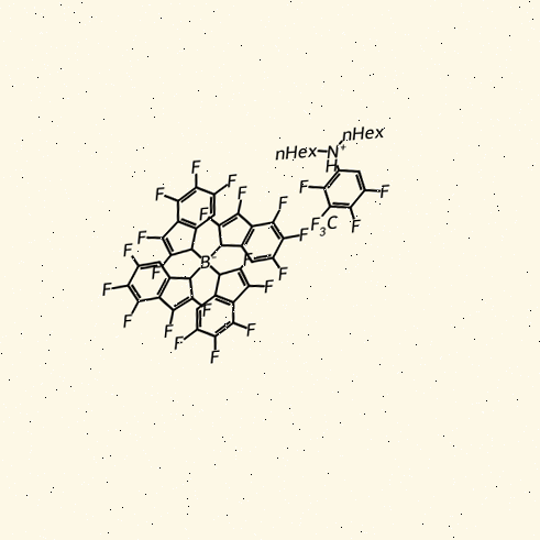 CCCCCC[NH+](CCCCCC)c1cc(F)c(F)c(C(F)(F)F)c1F.FC1=C(F)C([B-](C2C(F)=C(F)c3c2cc(F)c(F)c3F)(C2C(F)=C(F)c3c2cc(F)c(F)c3F)C2C(F)=C(F)c3c2cc(F)c(F)c3F)c2cc(F)c(F)c(F)c21